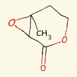 CC12CCOC(=O)C1O2